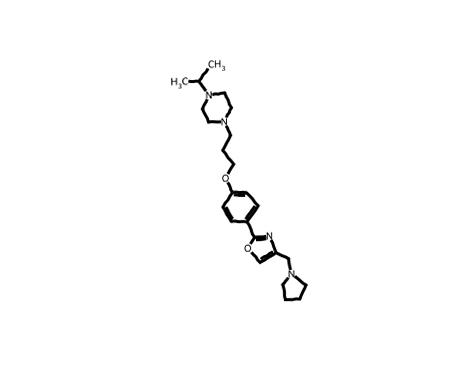 CC(C)N1CCN(CCCOc2ccc(-c3nc(CN4CCCC4)co3)cc2)CC1